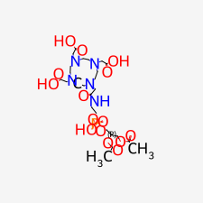 CC(=O)OC[C@H](COP(=O)(O)OCCNC(=O)CN1CCN(CC(=O)O)CCN(CC(=O)O)CCN(CC(=O)O)CC1)OC(C)=O